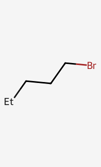 [CH2]CCCCBr